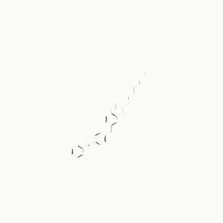 CCCCCCCCCCC(C)c1cc(Cc2ccc(C(C)(C)c3ccccc3)cc2C)ccc1O